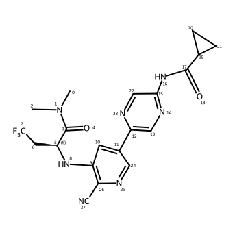 CN(C)C(=O)[C@H](CC(F)(F)F)Nc1cc(-c2cnc(NC(=O)C3CC3)cn2)cnc1C#N